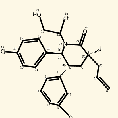 C=CC[C@@]1(C)C[C@H](c2cccc(Cl)c2)[C@@H](c2ccc(Cl)cc2)N(C(CC)CO)C1=O